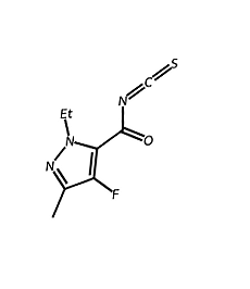 CCn1nc(C)c(F)c1C(=O)N=C=S